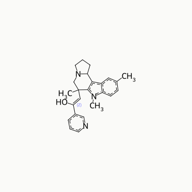 Cc1ccc2c(c1)c1c(n2C)C(C)(/C=C(\O)c2cccnc2)CN2CCCC12